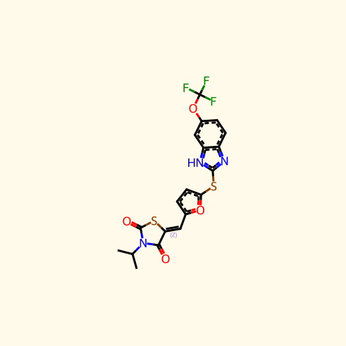 CC(C)N1C(=O)S/C(=C\c2ccc(Sc3nc4ccc(OC(F)(F)F)cc4[nH]3)o2)C1=O